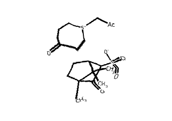 CC(=O)C[S+]1CCC(=O)CC1.CC12CCC(C(S(=O)(=O)[O-])C1=O)C2(C)C